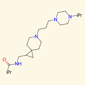 CC(C)C(=O)NCC1CC12CCN(CCCN1CCN(C(C)C)CC1)CC2